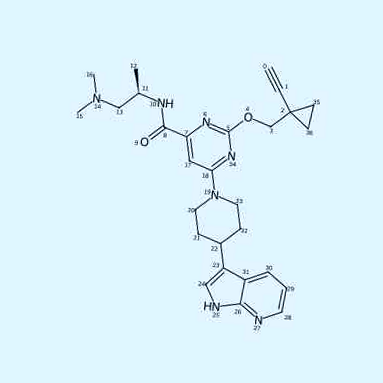 C#CC1(COc2nc(C(=O)N[C@H](C)CN(C)C)cc(N3CCC(c4c[nH]c5ncccc45)CC3)n2)CC1